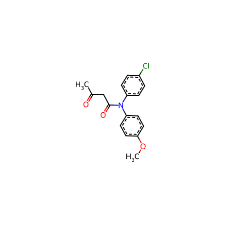 COc1ccc(N(C(=O)CC(C)=O)c2ccc(Cl)cc2)cc1